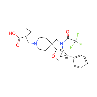 COCC1(CN(C(=O)C(F)(F)F)[C@@H]2C[C@H]2c2ccccc2)CCN(CC2(C(=O)O)CC2)CC1